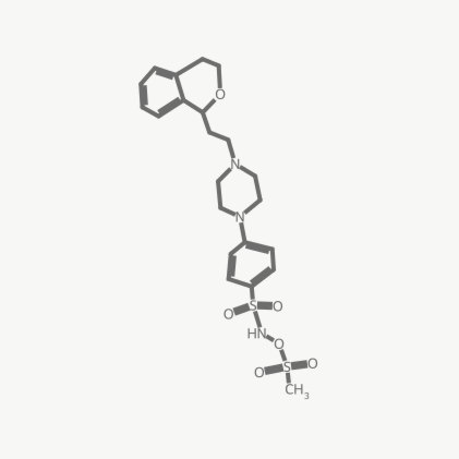 CS(=O)(=O)ONS(=O)(=O)c1ccc(N2CCN(CCC3OCCc4ccccc43)CC2)cc1